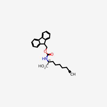 C#CCCCCC[C@H](NC(=O)OCC1c2ccccc2-c2ccccc21)C(=O)O